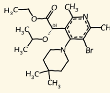 CCOC(=O)[C@@H](OC(C)C)c1c(C)nc(C)c(Br)c1N1CCC(C)(C)CC1